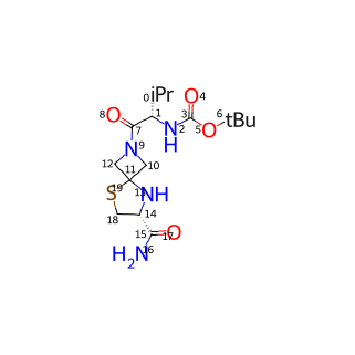 CC(C)[C@H](NC(=O)OC(C)(C)C)C(=O)N1CC2(C1)N[C@H](C(N)=O)CS2